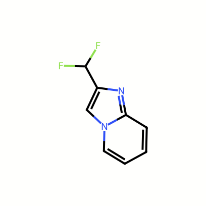 FC(F)c1cn2ccccc2n1